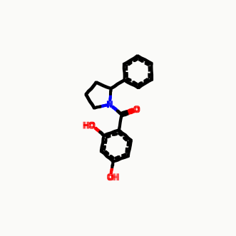 O=C(c1ccc(O)cc1O)N1CCCC1c1ccccc1